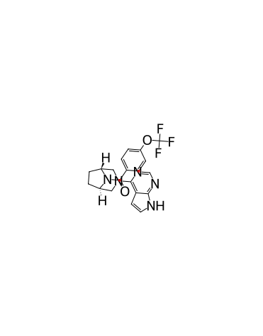 O=C(c1ccc(OC(F)(F)F)cc1)N1[C@@H]2CC[C@@H]1CN(c1ncnc3[nH]ccc13)C2